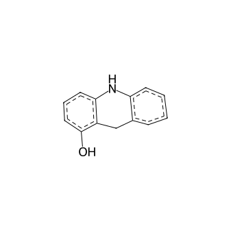 Oc1cccc2c1Cc1ccccc1N2